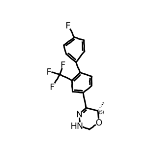 C[C@@H]1OCNN=C1c1ccc(-c2ccc(F)cc2)c(C(F)(F)F)c1